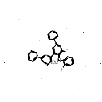 CC(C)(C)N(c1ccccc1F)c1c(F)cc(-c2ccccc2)cc1-c1cccc(-c2ccccc2)c1